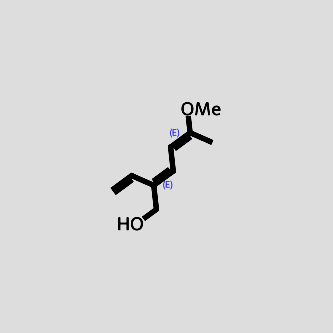 C=C/C(=C\C=C(/C)OC)CO